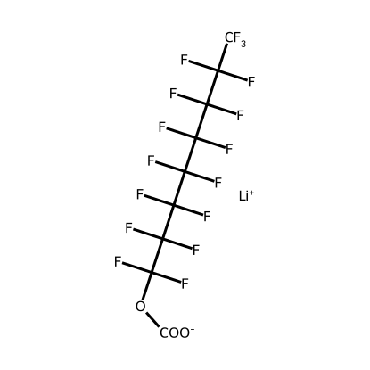 O=C([O-])OC(F)(F)C(F)(F)C(F)(F)C(F)(F)C(F)(F)C(F)(F)C(F)(F)C(F)(F)F.[Li+]